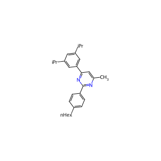 CCCCCCc1ccc(-c2nc(C)cc(-c3cc(C(C)C)cc(C(C)C)c3)n2)cc1